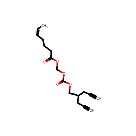 C#CCC(CC#C)COC(=O)OCOC(=O)CCC/C=C\C